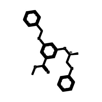 COC(=O)c1cc(OCc2ccccc2)cc(O[C@@H](C)COc2ccccc2)c1